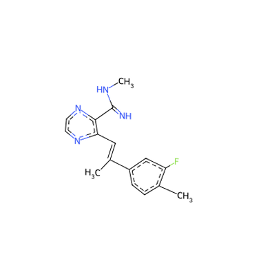 CNC(=N)c1nccnc1/C=C(\C)c1ccc(C)c(F)c1